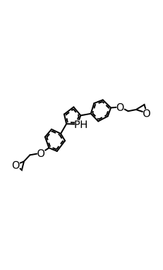 c1cc(-c2ccc(-c3ccc(OCC4CO4)cc3)[pH]2)ccc1OCC1CO1